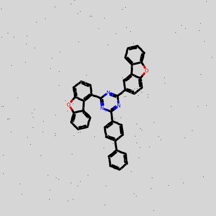 c1ccc(-c2ccc(-c3nc(-c4ccc5oc6ccccc6c5c4)nc(-c4cccc5oc6ccccc6c45)n3)cc2)cc1